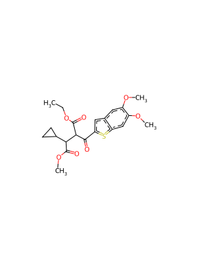 CCOC(=O)C(C(=O)c1cc2cc(OC)c(OC)cc2s1)C(C(=O)OC)C1CC1